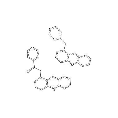 O=C(Cc1cccc2nc3ccccc3cc12)c1ccccc1.c1ccc(Cc2cccc3nc4ccccc4cc23)cc1